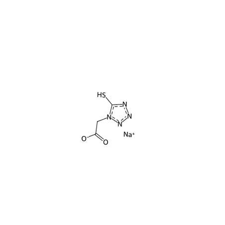 O=C([O-])Cn1nnnc1S.[Na+]